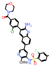 COc1ncc(-c2ccc3nc(N)c(-c4ccc(C(=O)N5CCOCC5)cc4Cl)cc3c2)cc1NS(=O)(=O)c1ccc(F)cc1F